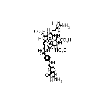 Nc1nc2ncc(CNc3ccc(C(=O)NCCCC(=O)N[C@H](CC(=O)O)C(=O)N[C@H](CCCNC(N)N)C(=O)N[C@H](CC(=O)O)C(=O)N[C@H](CC(=O)O)C(=O)N[C@H](CS)C(=O)O)cc3)nc2c(=O)[nH]1